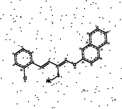 N#CSC(C=Cc1ccccc1Cl)=COc1ccc2ccccc2c1